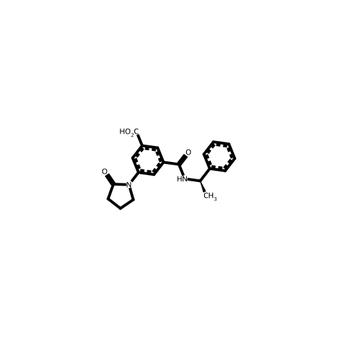 C[C@@H](NC(=O)c1cc(C(=O)O)cc(N2CCCC2=O)c1)c1ccccc1